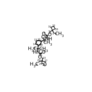 CCC1(COC(=O)NC(C)(C)c2cccc(C(C)(C)NC(=O)OCC3(CC)COC3)c2)CCC1